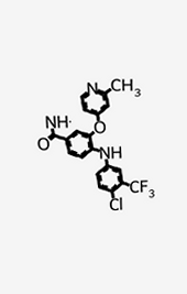 Cc1cc(Oc2cc(C([NH])=O)ccc2Nc2ccc(Cl)c(C(F)(F)F)c2)ccn1